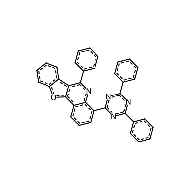 c1ccc(-c2nc(-c3ccccc3)nc(-c3cccc4c3nc(-c3ccccc3)c3c5ccccc5oc43)n2)cc1